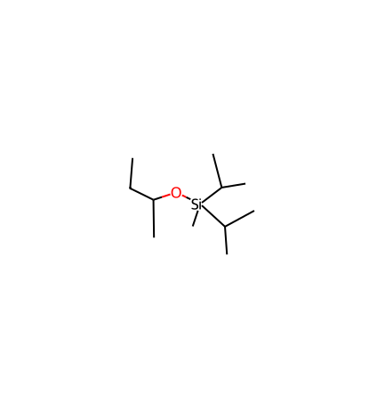 CCC(C)O[Si](C)(C(C)C)C(C)C